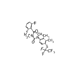 Cc1c(SC(F)(F)C(F)(F)F)ccc(N(C)C(=O)N(C)C(=O)c2c(F)cccc2F)c1C